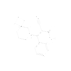 N#Cc1c(N2CCCC3(CCC3)C2)c2ccccc2[nH]c1=O